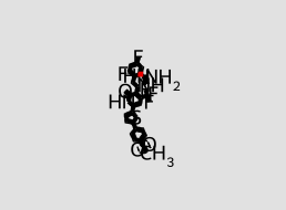 CS(=O)(=O)c1ccc(-c2ccc(-c3cc(C(F)(F)F)c(C(Cc4ccc(F)cc4F)NC(=N)N)c(=O)[nH]3)s2)cc1